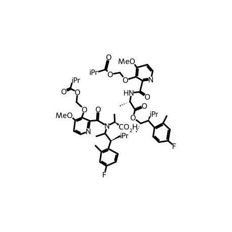 COc1ccnc(C(=O)N(C(C)[C@H](c2ccc(F)cc2C)C(C)C)[C@@H](C)C(=O)O)c1OCOC(=O)C(C)C.COc1ccnc(C(=O)N[C@@H](C)C(=O)O[C@@H](C)[C@H](c2ccc(F)cc2C)C(C)C)c1OCOC(=O)C(C)C